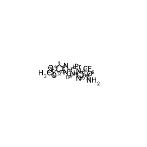 CC(C)C1c2nc3ccc(S(C)(=O)=O)cc3n2CCN1c1ncc(C(N)=O)c(C(F)(F)F)n1